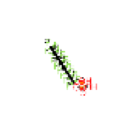 O=P(O)(O)OC(F)(F)C(F)(F)C(F)(F)C(F)(F)C(F)(F)C(F)(F)C(F)(F)C(F)(F)F